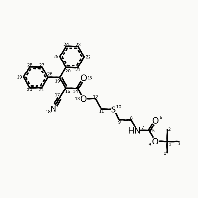 CC(C)(C)OC(=O)NCCSCCOC(=O)C(C#N)=C(c1ccccc1)c1ccccc1